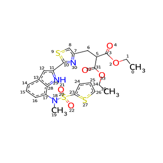 CCOC(=O)C(Cc1csc(-c2cc3cccc(N(C)S(=O)(=O)c4cccs4)c3[nH]2)n1)C(=O)OCC